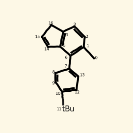 Cc1ccc2c(c1-c1ccc(C(C)(C)C)cc1)C=CC2